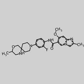 COc1cc2nc(C)cn2cc1C(=O)Nc1ccc(N2CCC3(CC2)COC(C)CN3)cc1F